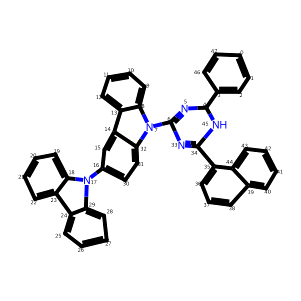 c1ccc(C2N=C(n3c4ccccc4c4cc(-n5c6ccccc6c6ccccc65)ccc43)N=C(c3cccc4ccccc34)N2)cc1